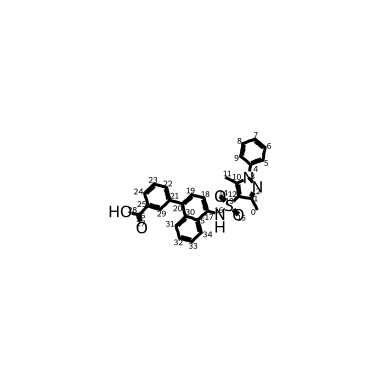 Cc1nn(-c2ccccc2)c(C)c1S(=O)(=O)Nc1ccc(-c2cccc(C(=O)O)c2)c2ccccc12